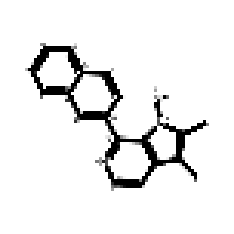 CCCn1c(C)c(C)c2ccnc(-c3ccc4ccccc4c3)c21